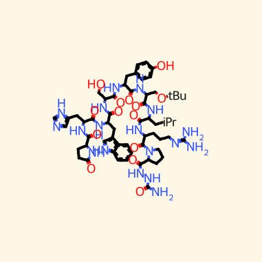 CC(C)CC(NC(=O)C(COC(C)(C)C)NC(=O)C(Cc1ccc(O)cc1)NC(=O)C(CO)NC(=O)C(Cc1c[nH]c2ccccc12)NC(=O)C(Cc1cnc[nH]1)NC(=O)C1CCC(=O)N1)C(=O)NC(CCCN=C(N)N)C(=O)N1CCCC1C(=O)NNC(N)=O